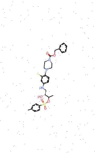 Cc1ccc(S(=O)(=O)OC(C)[C@H](O)CNc2ccc(N3CCN(C(=O)OCc4ccccc4)CC3)c(F)c2)cc1